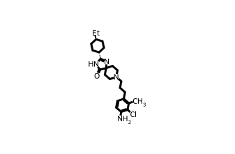 CC[C@H]1CC[C@H](C2=NC3(CCN(CCCc4ccc(N)c(Cl)c4C)CC3)C(=O)N2)CC1